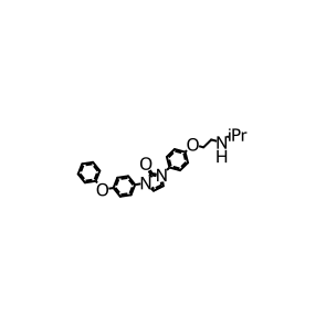 CC(C)NCCOc1ccc(-n2ccn(-c3ccc(Oc4ccccc4)cc3)c2=O)cc1